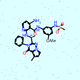 COc1cc(NC(=O)c2c(N)ccnc2N[C@@H](C)c2nn3ccc(C)c3c(=O)n2-c2ccccc2)cc(NS(C)(=O)=O)c1